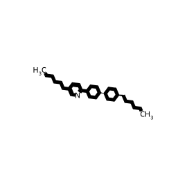 CCCCCCc1ccc(C2CCC([C@H]3CC[C@H](CCCCCC)CC3)CC2)nc1